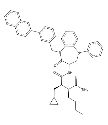 CCCC[C@H](C(N)=O)[C@@H](CC1CC1)C(=O)NC1CN(c2ccccc2)c2ccccc2N(Cc2cccc(-c3ccc4ccccc4c3)c2)C1=O